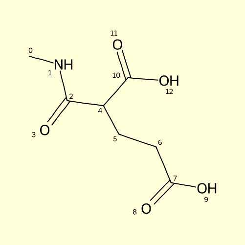 CNC(=O)C(CCC(=O)O)C(=O)O